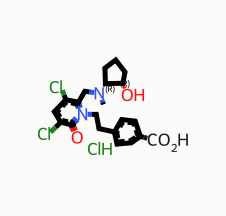 CN(Cc1c(Cl)cc(Cl)c(=O)n1CCc1ccc(C(=O)O)cc1)[C@@H]1CCC[C@H]1O.Cl